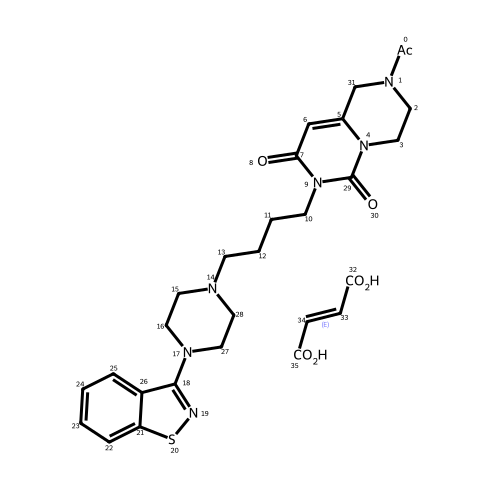 CC(=O)N1CCn2c(cc(=O)n(CCCCN3CCN(c4nsc5ccccc45)CC3)c2=O)C1.O=C(O)/C=C/C(=O)O